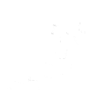 O=C(NCCO)c1ccc2c(c1)OCCc1cc(-c3nncn3-c3ccccc3Cl)sc1-2